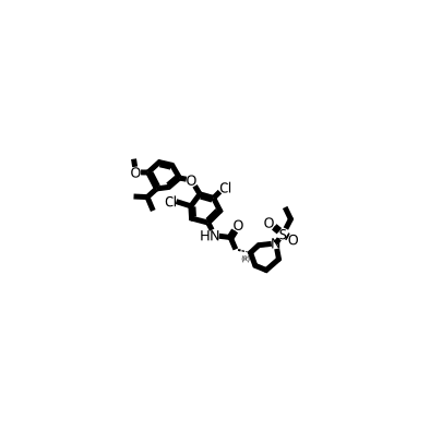 CCS(=O)(=O)N1CCC[C@H](CC(=O)Nc2cc(Cl)c(Oc3ccc(OC)c(C(C)C)c3)c(Cl)c2)C1